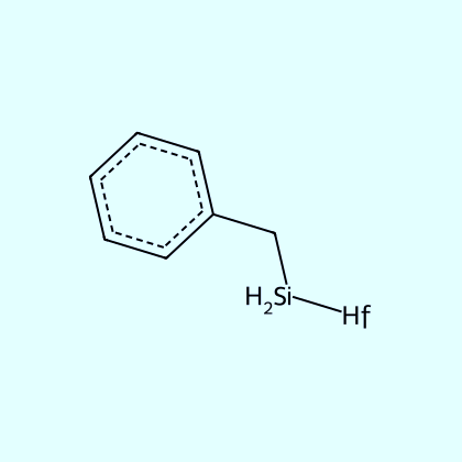 [Hf][SiH2]Cc1ccccc1